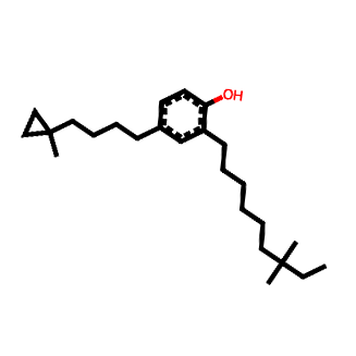 CCC(C)(C)CCCCCCc1cc(CCCCC2(C)CC2)ccc1O